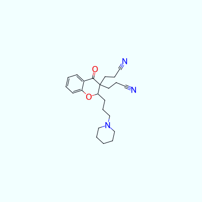 N#CCCC1(CCC#N)C(=O)c2ccccc2OC1CCCN1CCCCC1